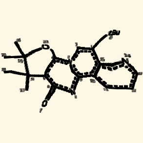 CC(C)(C)c1cn2c3c(c(=O)nc2c2cccnc12)C(C)(C)C(C)(C)O3